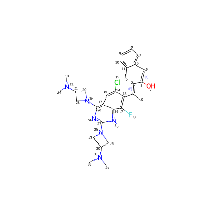 C/C(=C\C(O)=C/c1ccccc1C)c1c(Cl)cc2c(N3CC(N(C)C)C3)nc(N3CC(N(C)C)C3)nc2c1F